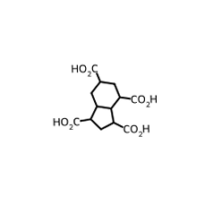 O=C(O)C1CC(C(=O)O)C2C(C(=O)O)CC(C(=O)O)C2C1